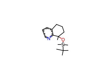 CC1(O[Si](C)(C)C(C)(C)C)CCCc2cccnc21